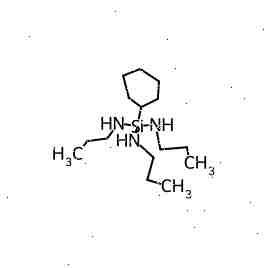 CCCN[Si](NCCC)(NCCC)C1CCCCC1